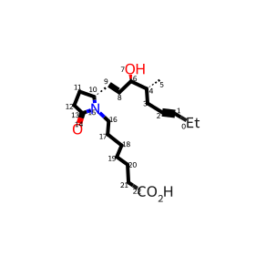 CCC#CC[C@@H](C)[C@H](O)/C=C/[C@H]1CCC(=O)N1CCCCCCC(=O)O